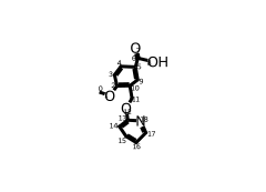 COc1ccc(C(=O)O)cc1COc1ccccn1